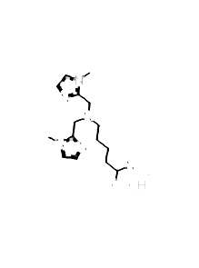 Cn1ccnc1CN(CCCCC(N)C(=O)O)Cc1nccn1C